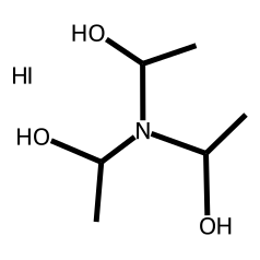 CC(O)N(C(C)O)C(C)O.I